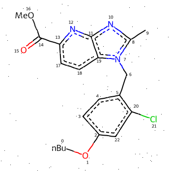 CCCCOc1ccc(Cn2c(C)nc3nc(C(=O)OC)ccc32)c(Cl)c1